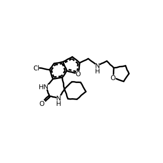 O=C1Nc2c(Cl)cc3cc(CNCC4CCCO4)oc3c2C2(CCCCC2)N1